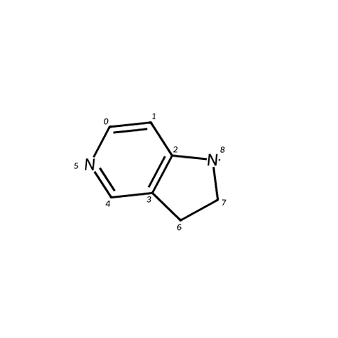 c1cc2c(cn1)CC[N]2